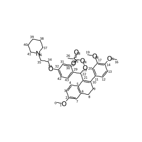 COc1ccc2c(c1)CCC(c1ccc(OC)c(OC)c1)=C2C(OOS(C)(=O)=O)c1ccc(OCCN2CCCCC2)cc1